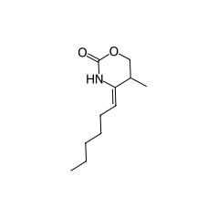 CCCCC/C=C1\NC(=O)OCC1C